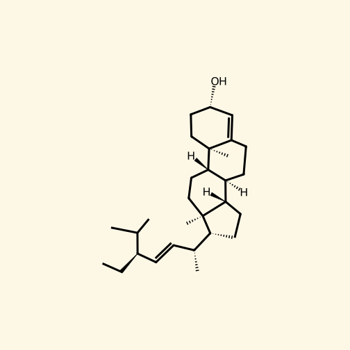 CC[C@H](/C=C/[C@@H](C)[C@H]1CC[C@H]2[C@@H]3CCC4=C[C@@H](O)CC[C@]4(C)[C@H]3CC[C@]12C)C(C)C